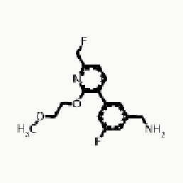 COCCOc1nc(CF)ccc1-c1cc(F)cc(CN)c1